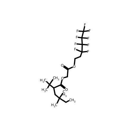 CCC(C)(C)CC(C(=O)OCC(=O)OCCC(F)(F)C(F)(F)C(F)(F)C(F)(F)F)C(C)(C)C